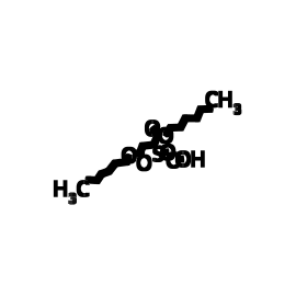 CCCCCCCOC(=O)CC(SOOO)C(=O)OCCCCCCC